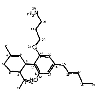 C=C(C)C1CCC(C)=CC1c1c(O)cc(CCCCC)cc1OCCCN